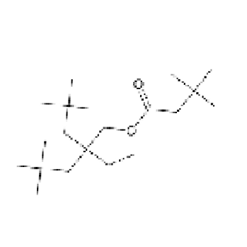 CCC(COC(=O)CC(C)(C)C)(CC(C)(C)C)CC(C)(C)C